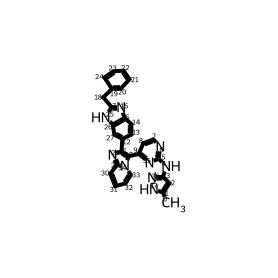 Cc1cc(Nc2nccc(-c3c(-c4ccc5nc(Cc6ccccc6)[nH]c5c4)nc4ccccn34)n2)n[nH]1